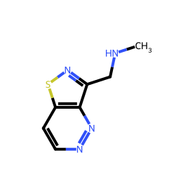 CNCc1nsc2ccnnc12